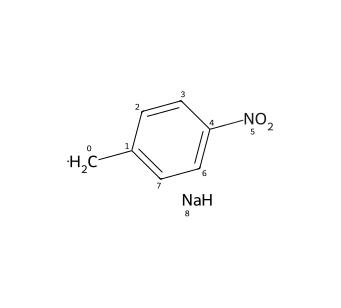 [CH2]c1ccc([N+](=O)[O-])cc1.[NaH]